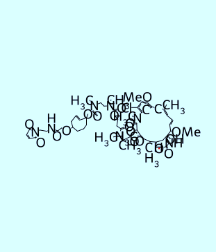 COc1cc2cc(c1Cl)N(C)C(=O)[C@H](OC(=O)[C@H](C)N(C)C(=O)CCOC(=O)N(C)CCN(C)C(=O)OC1/C=C/CC(OCC(=O)NCCN3C(=O)C=CC3=O)CCC1)[C@]1(C)OC1[C@H](C)[C@@H]1C[C@@](O)(NC(=O)O1)[C@H](OC)/C=C/C=C(\C)C2